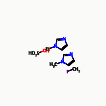 CCn1ccnc1.CI.Cn1ccnc1.O=S(=O)(O)O